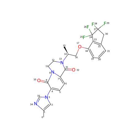 Cc1cn(-c2ccc3n(c2=O)CCN([C@@H](C)COc2cccc4c2C(F)(F)C(F)(F)C4)C3=O)cn1